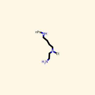 CCCNCCCCN(CC)CCN